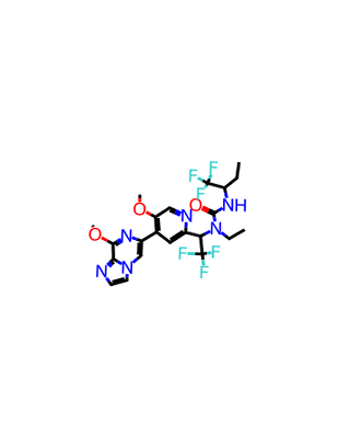 CCC(NC(=O)N(CC)C(c1cc(-c2cn3ccnc3c(OC)n2)c(OC)cn1)C(F)(F)F)C(F)(F)F